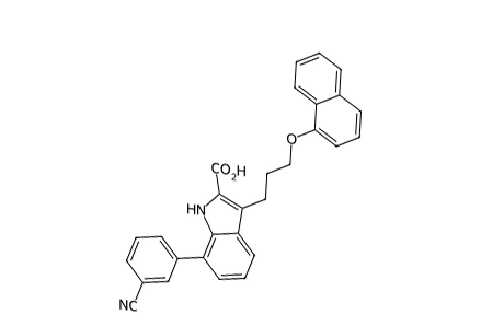 N#Cc1cccc(-c2cccc3c(CCCOc4cccc5ccccc45)c(C(=O)O)[nH]c23)c1